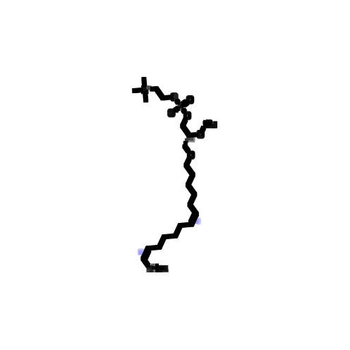 CCCCCC/C=C\CCCC/C=C\CCCCCOC[C@H](COP(=O)([O-])OCC[N+](C)(C)C)OC(C)(C)C